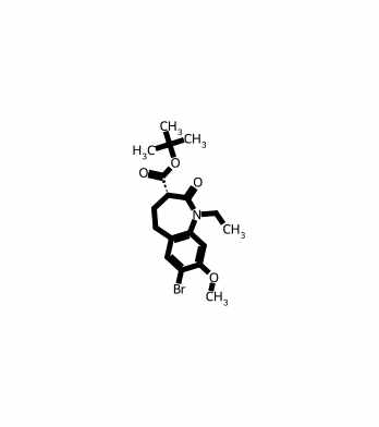 CCN1C(=O)[C@@H](C(=O)OC(C)(C)C)CCc2cc(Br)c(OC)cc21